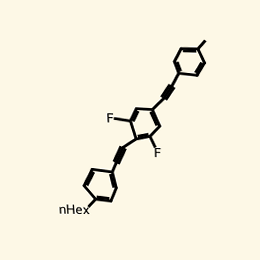 CCCCCCc1ccc(C#Cc2c(F)cc(C#Cc3ccc(C)cc3)cc2F)cc1